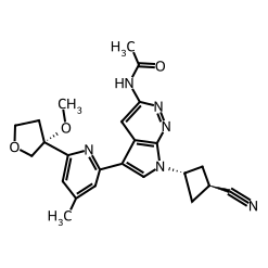 CO[C@@]1(c2cc(C)cc(-c3cn([C@H]4C[C@H](C#N)C4)c4nnc(NC(C)=O)cc34)n2)CCOC1